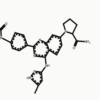 C=CC(=O)Nc1ccc(-c2nc(Nc3cc(C)[nH]n3)c3ccc(N4CCCC4C(N)=O)cc3n2)cc1